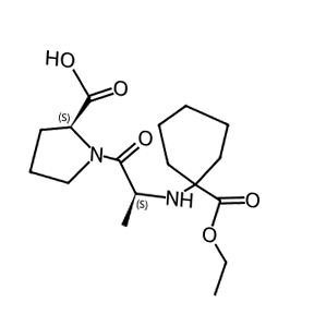 CCOC(=O)C1(N[C@@H](C)C(=O)N2CCC[C@H]2C(=O)O)CCCCC1